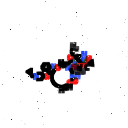 C=C[C@@H]1C[C@]1(NC(=O)[C@@H]1C[C@@H]2CN1C(=O)[C@H](C(C)(C)C)NC(=O)O[C@@H]1C[C@H]1CCCCCc1c(nc3ccccc3c1OC1CCN(CC3CC3)CC1)O2)C(=O)NS(=O)(=O)C1(C)CC1